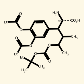 CCC(=O)Oc1ccc(C(C(C)C(C)OC(=O)OC(C)(C)CC)[C@H](N)C(=O)O)cc1OC(=O)CC